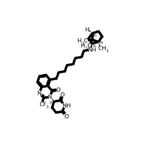 CC1(C)[C@@H]2CC[C@@]1(C)[C@@H](NCCCCCCCCc1cccc3nc(C(F)(F)F)n([C@H]4CCC(=O)NC4=O)c(=O)c13)C2